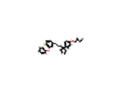 C=CC(CC)(CCCc1ccc(F)c(Oc2ccccc2)c1)c1ccc(OCCCC)cc1